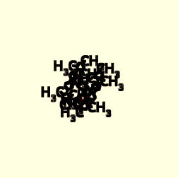 Cc1cc(C)c(-c2ccc3c4ccc(-c5c(C)cc(C)cc5C)cc4n(-c4cc(C(F)(F)F)c(-n5c6cc(-c7c(C)cc(C)cc7C)ccc6c6ccc(-c7c(C)cc(C)cc7C)cc65)cc4-c4cccc(C#N)c4)c3c2)c(C)c1